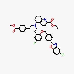 CCOC(=O)c1ccc2c(n1)CCCC2N(CCc1ccc(C(=O)OC)cc1)CCc1cc(F)ccc1OCc1ccc(-c2nc3cc(Cl)ccc3o2)cc1